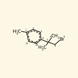 Cc1ccc(C(C)(C)CBr)cc1